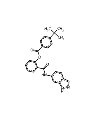 CC(C)(C)c1ccc(C(=O)Oc2ccccc2C(=O)Nc2ccc3cn[nH]c3c2)cc1